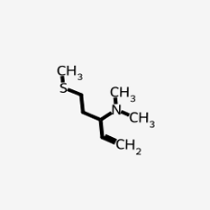 C=CC(CCSC)N(C)C